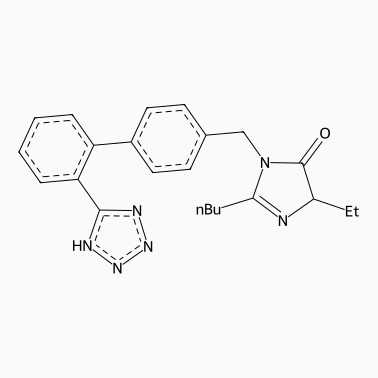 CCCCC1=NC(CC)C(=O)N1Cc1ccc(-c2ccccc2-c2nnn[nH]2)cc1